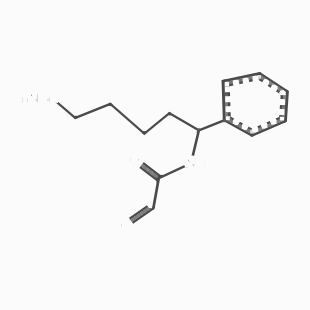 C=CC(=O)NC(CCCCCCCCCCCCC)c1ccccc1